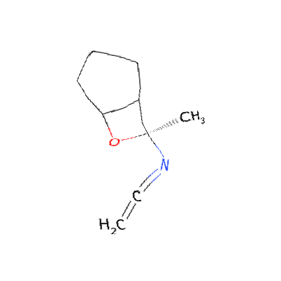 C=C=N[C@@]1(C)OC2CCCC21